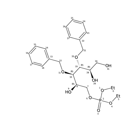 CCOP(=O)(OCC)OC[C@@H](O)[C@@H](OCc1ccccc1)[C@H](OCc1ccccc1)[C@H](O)CO